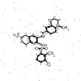 Cc1c(Cl)cccc1S(=O)(=O)Nc1nc2c(cc1OCc1ccc3c(c1)OCCN3C)CN(C)CC2